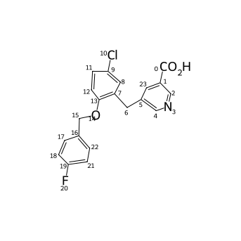 O=C(O)c1cncc(Cc2cc(Cl)ccc2OCc2ccc(F)cc2)c1